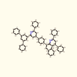 c1ccc(-c2cc(-c3ccccc3)cc(-c3cc(-c4ccc(-c5cc6ccccc6c6c(-c7ccccc7)cc(-c7ccccc7)nc56)cc4)cc(-c4ccccc4)n3)c2)cc1